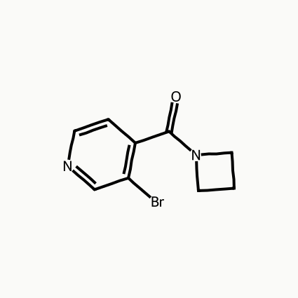 O=C(c1ccncc1Br)N1CCC1